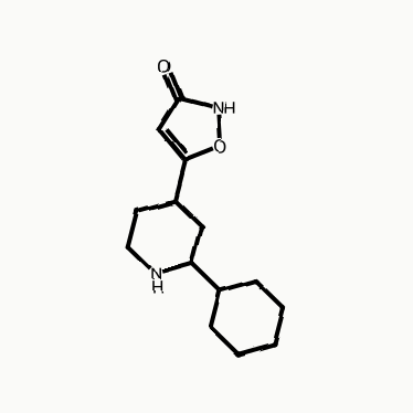 O=c1cc(C2CCNC(C3CCCCC3)C2)o[nH]1